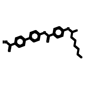 CCCCCCC(C)Oc1ccc(C(=O)Oc2ccc(-c3ccc(C(=O)O)cc3)cc2)cc1